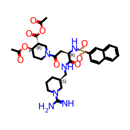 CC(=O)OC(=O)[C@@H]1CN(C(=O)C[C@@H](NS(=O)(=O)c2ccc3ccccc3c2)C(=O)NC[C@@H]2CCCN(C(=N)N)C2)CC[C@H]1OC(C)=O